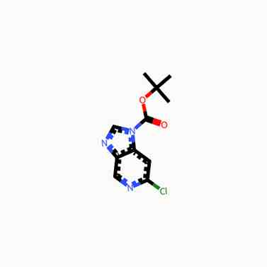 CC(C)(C)OC(=O)n1cnc2cnc(Cl)cc21